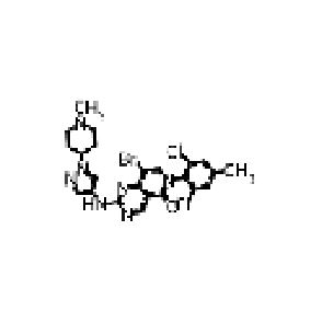 Cc1cc(Cl)c(-n2cc(Br)c3nc(Nc4cnn(C5CCN(C)CC5)c4)ncc3c2=O)c(Cl)c1